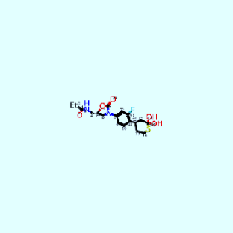 CCC(=O)NC[C@H]1CN(c2ccc(C3CCSC(O)(O)C3)c(F)c2)C(=O)O1